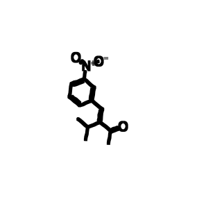 CC(=O)/C(=C/c1cccc([N+](=O)[O-])c1)C(C)C